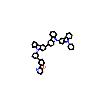 c1ccc(-n2c3ccccc3c3cc(-n4c5ccccc5c5cc(-c6ccc7c(c6)c6ccccc6n7-c6cccc(-c7ccc8oc9cccnc9c8c7)c6)ccc54)ccc32)cc1